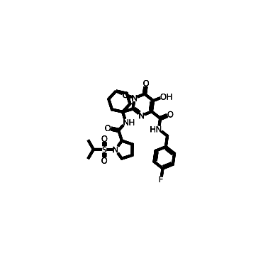 CC(C)S(=O)(=O)N1CCCC1C(=O)NC12CCC(CC1)Cn1c2nc(C(=O)NCc2ccc(F)cc2)c(O)c1=O